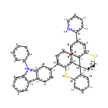 c1ccc(-n2c3ccccc3c3ccc(-c4cccc5c4Sc4ccccc4C54c5ccccc5Sc5cc(-c6ccccn6)ccc54)cc32)cc1